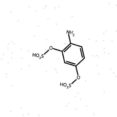 Nc1ccc(OS(=O)(=O)O)cc1OS(=O)(=O)O